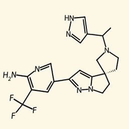 CC(c1cn[nH]c1)N1CC[C@@]2(CCn3nc(-c4cnc(N)c(C(F)(F)F)c4)cc32)C1